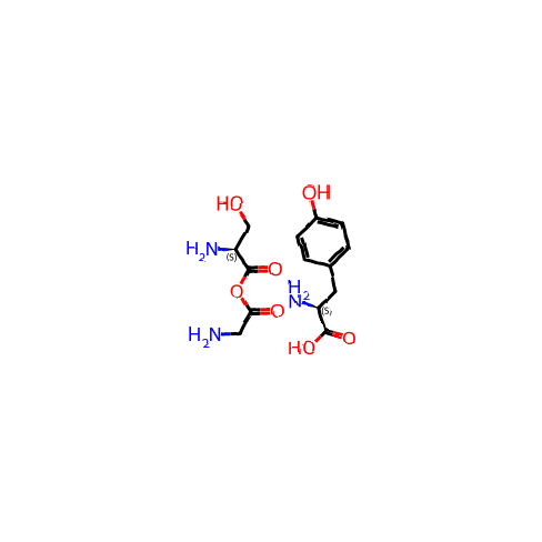 NCC(=O)OC(=O)[C@@H](N)CO.N[C@@H](Cc1ccc(O)cc1)C(=O)O